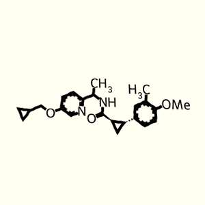 COc1ccc([C@@H]2C[C@H]2C(=O)NC(C)c2ccc(OCC3CC3)cn2)cc1C